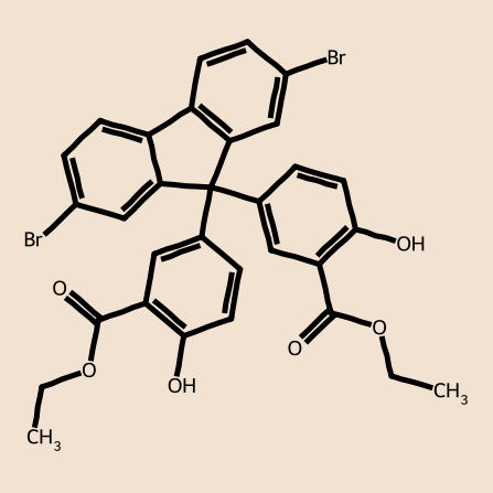 CCOC(=O)c1cc(C2(c3ccc(O)c(C(=O)OCC)c3)c3cc(Br)ccc3-c3ccc(Br)cc32)ccc1O